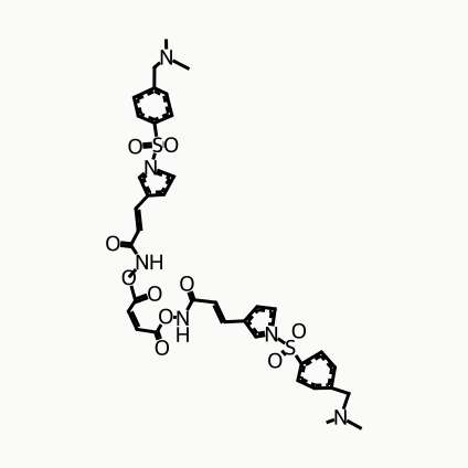 CN(C)Cc1ccc(S(=O)(=O)n2ccc(/C=C/C(=O)NOC(=O)/C=C\C(=O)ONC(=O)/C=C/c3ccn(S(=O)(=O)c4ccc(CN(C)C)cc4)c3)c2)cc1